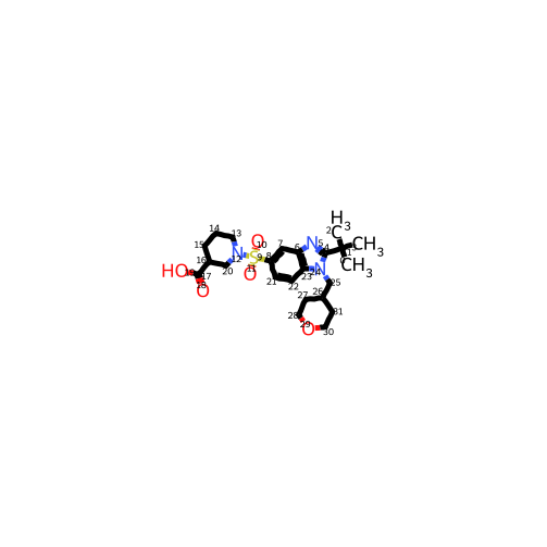 CC(C)(C)c1nc2cc(S(=O)(=O)N3CCCC(C(=O)O)C3)ccc2n1CC1CCOCC1